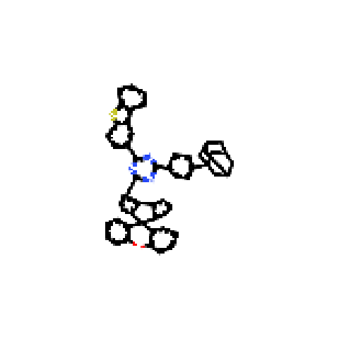 c1ccc2c(c1)Oc1ccccc1C21c2ccccc2-c2c(-c3nc(-c4ccc(C56CC7CC(CC(C7)C5)C6)cc4)nc(-c4ccc5sc6ccccc6c5c4)n3)cccc21